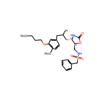 COCCCOc1cc(CC(C[C@@H]2NC(=O)O[C@H]2CNS(=O)(=O)Cc2ccccc2)C(C)C)ccc1OC